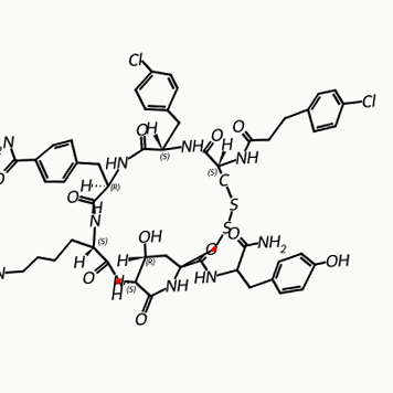 CNCCCC[C@@H]1NC(=O)[C@@H](Cc2ccc(C(N)=O)cc2)NC(=O)[C@H](Cc2ccc(Cl)cc2)NC(=O)[C@H](NC(=O)CCc2ccc(Cl)cc2)CSSCC2(C(=O)NC(Cc3ccc(O)cc3)C(N)=O)C[C@@H](O)[C@H](NC1=O)C(=O)N2